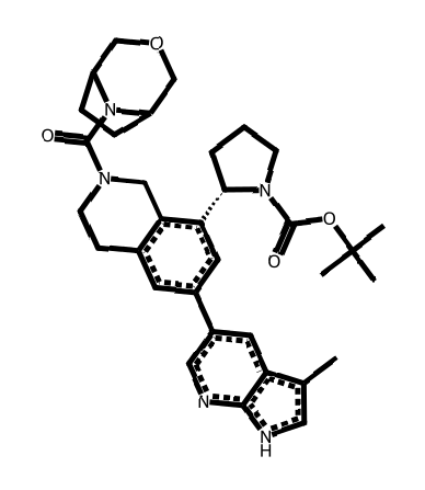 Cc1c[nH]c2ncc(-c3cc4c(c([C@@H]5CCCN5C(=O)OC(C)(C)C)c3)CN(C(=O)N3C5CCC3COC5)CC4)cc12